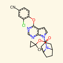 [C-]#[N+]c1ccc(Oc2ncnc3c2ccn3C2CC3CCC(C2)N3C(=O)OC2(C)CC2)c(Cl)c1